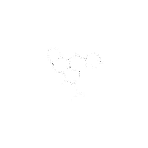 CC(=O)C1CCC2C(=N1)CC1CNCC1C2Cc1ccccc1